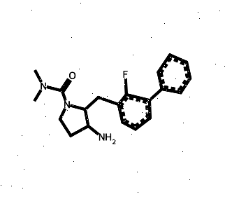 CN(C)C(=O)N1CCC(N)C1Cc1cccc(-c2ccccc2)c1F